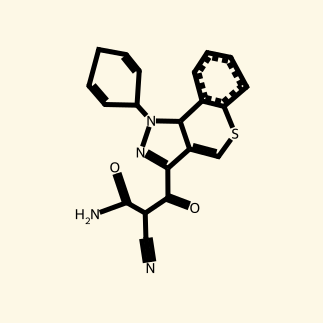 N#CC(C(N)=O)C(=O)C1=NN(C2C=CCC=C2)C2C1=CSc1ccccc12